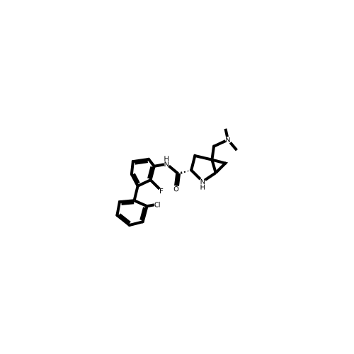 CN(C)CC12CC1N[C@H](C(=O)Nc1cccc(-c3ccccc3Cl)c1F)C2